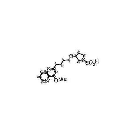 COc1cc(CCCCOC2CCN(C(=O)O)C2)nc2cccnc12